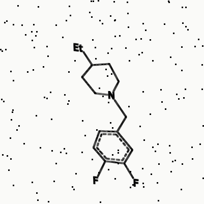 CCC1CCN(Cc2ccc(F)c(F)c2)CC1